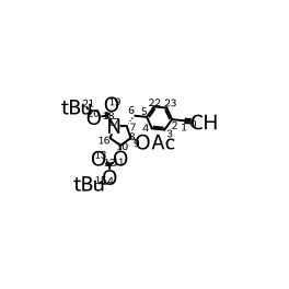 C#Cc1ccc(C[C@@H]2[C@H](OC(C)=O)[C@@H](OC(=O)OC(C)(C)C)CN2C(=O)OC(C)(C)C)cc1